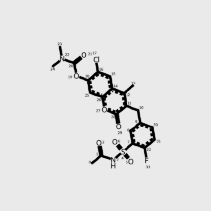 CC(=O)NS(=O)(=O)c1cc(Cc2c(C)c3cc(Cl)c(OC(=O)N(C)C)cc3oc2=O)ccc1F